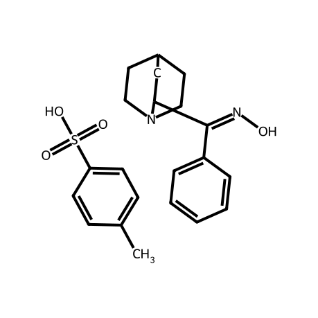 Cc1ccc(S(=O)(=O)O)cc1.ON=C(c1ccccc1)C1CC2CCN1CC2